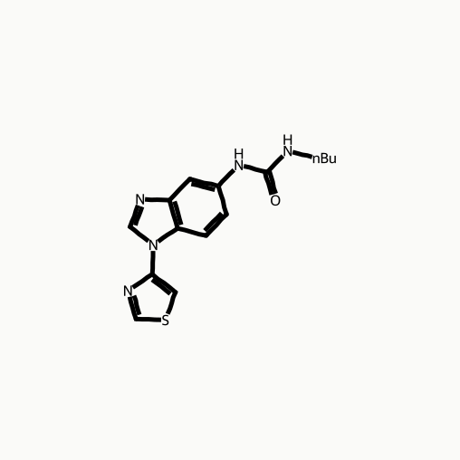 CCCCNC(=O)Nc1ccc2c(c1)ncn2-c1cscn1